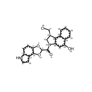 O=C(C1Oc2ccc3[nH]ccc3c2O1)N1C[C@@H](CCl)c2c1cc(O)c1ccccc21